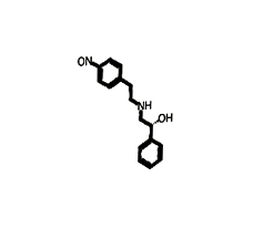 O=Nc1ccc(CCNC[C@H](O)c2ccccc2)cc1